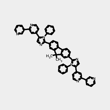 CC1(C)c2cc(-c3ncc(-c4ccnc(-c5cccnc5)c4)n3-c3ccccc3)ccc2-c2ccc(-c3ncc(-c4ccnc(-c5cccnc5)c4)n3-c3ccccc3)cc21